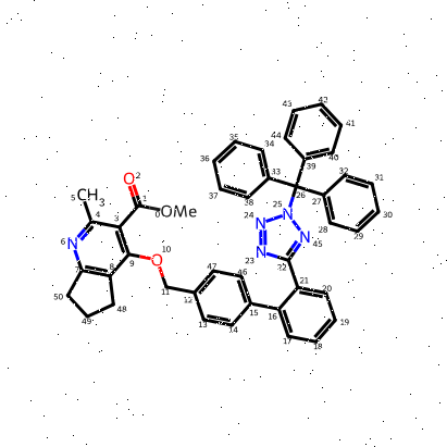 COC(=O)c1c(C)nc2c(c1OCc1ccc(-c3ccccc3-c3nnn(C(c4ccccc4)(c4ccccc4)c4ccccc4)n3)cc1)CCC2